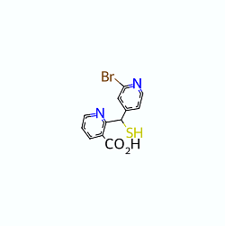 O=C(O)c1cccnc1C(S)c1ccnc(Br)c1